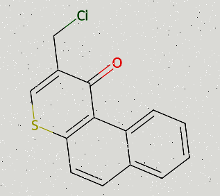 O=c1c(CCl)csc2ccc3ccccc3c12